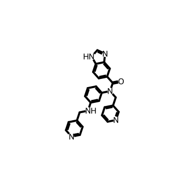 O=C(c1ccc2[nH]cnc2c1)N(Cc1cccnc1)c1cccc(NCc2ccncc2)c1